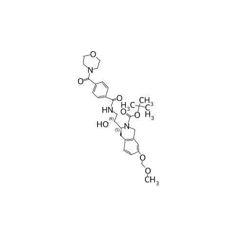 COCOc1ccc2c(c1)CN(C(=O)OC(C)(C)C)[C@H]([C@H](O)CNC(=O)c1ccc(C(=O)N3CCOCC3)cc1)C2